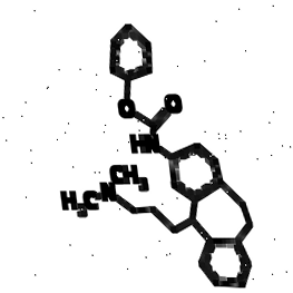 CN(C)CCCC1c2ccccc2CCc2ccc(NC(=O)Oc3ccccc3)cc21